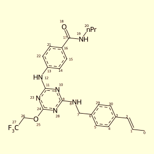 CC=Cc1ccc(CNc2nc(Nc3ccc(C(=O)NCCC)cc3)nc(OCC(F)(F)F)n2)cc1